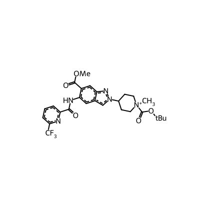 COC(=O)c1cc2nn(C3CC[N+](C)(C(=O)OC(C)(C)C)CC3)cc2cc1NC(=O)c1cccc(C(F)(F)F)n1